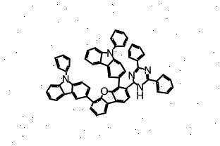 c1ccc(C2=NC(c3ccc4c(oc5c(-c6ccc7c(c6)c6ccccc6n7-c6ccccc6)cccc54)c3-c3ccc4c(c3)c3ccccc3n4-c3ccccc3)NC(c3ccccc3)=N2)cc1